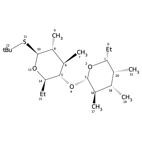 CC[C@H]1O[C@@H](O[C@H]2[C@H](C)[C@@H](C)[C@H](SC(C)(C)C)O[C@@H]2CC)[C@H](C)[C@@H](C)[C@H]1C